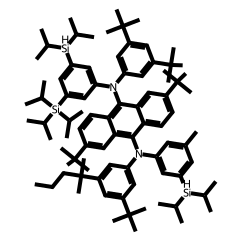 CCCC(C)(C)c1cc(N(c2cc(C)cc([SiH](C(C)C)C(C)C)c2)c2c3ccc(C(C)(C)C)cc3c(N(c3cc(C(C)(C)C)cc(C(C)(C)C)c3)c3cc([SiH](C(C)C)C(C)C)cc([Si](C(C)C)(C(C)C)C(C)C)c3)c3ccc(C(C)(C)C)cc23)cc(C(C)(C)C)c1